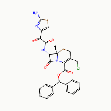 Nc1nc(C(=O)C(=O)N[C@H]2C(=O)N3C(C(=O)OC(c4ccccc4)c4ccccc4)=C(CCl)CS[C@@H]23)cs1